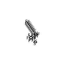 C1=CSCS1.Fc1nc(N(F)c2c(F)c(F)c(F)c(F)c2F)nc(C(F)(F)C(F)(F)C(F)(F)C(F)(F)C(F)(F)C(F)(F)C(F)(F)C(F)(F)F)n1